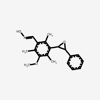 COc1c(C)c(C=NO)c(C)c(C2OC2c2ccccc2)c1C